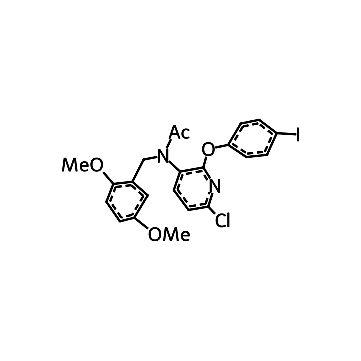 COc1ccc(OC)c(CN(C(C)=O)c2ccc(Cl)nc2Oc2ccc(I)cc2)c1